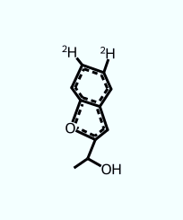 [2H]c1cc2cc(C(C)O)oc2cc1[2H]